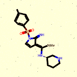 CN/C(N[C@H]1CCCNC1)=C1/C=CN(S(=O)(=O)c2ccc(C)cc2)C1=N